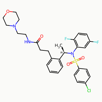 C[C@H](c1ccccc1CCC(=O)NCCN1CCOCC1)N(c1cc(F)ccc1F)S(=O)(=O)c1ccc(Cl)cc1